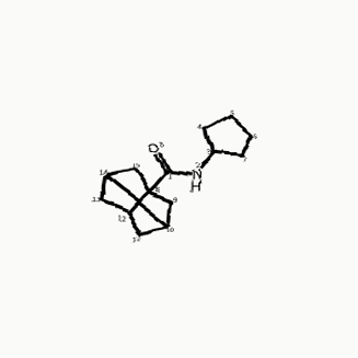 O=C(NC1CCCC1)C12CC3CC1CC3C2